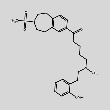 COc1ccccc1CCN(C)CCCCC(=O)c1ccc2c(c1)CCN(S(C)(=O)=O)CC2